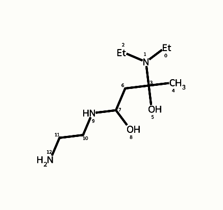 CCN(CC)C(C)(O)CC(O)NCCN